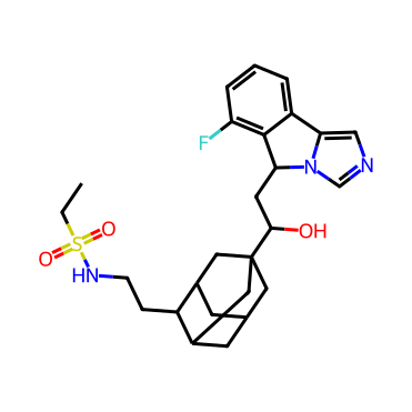 CCS(=O)(=O)NCCC1C2CC3CC1CC(C(O)CC1c4c(F)cccc4-c4cncn41)(C3)C2